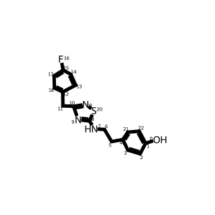 Oc1ccc(CCNc2nc(Cc3ccc(F)cc3)ns2)cc1